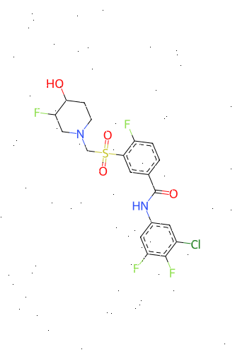 O=C(Nc1cc(F)c(F)c(Cl)c1)c1ccc(F)c(S(=O)(=O)CN2CCC(O)C(F)C2)c1